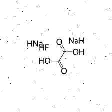 F.O=C(O)C(=O)O.[NaH].[NaH]